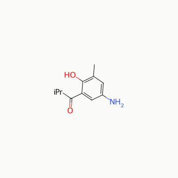 Cc1cc(N)cc(C(=O)C(C)C)c1O